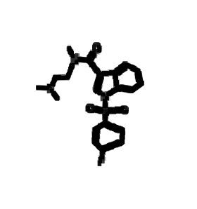 CN(C)CCN(C)C(=O)c1cn(S(=O)(=O)c2ccc(F)cc2)c2ccccc12